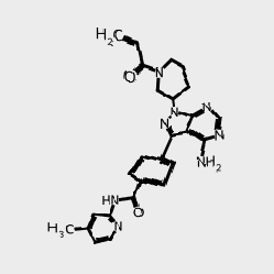 C=CC(=O)N1CCCC(n2nc(-c3ccc(C(=O)Nc4cc(C)ccn4)cc3)c3c(N)ncnc32)C1